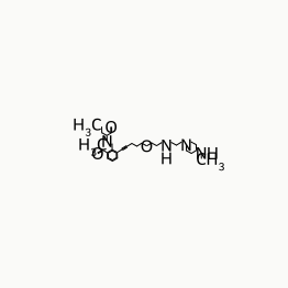 CCCC(C=O)N(C)Cc1c(C#CCCCOCCCNCCCN2CCC(NC)CC2)cccc1C=O